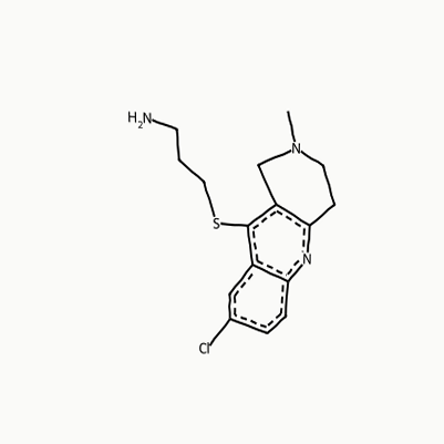 CN1CCc2nc3ccc(Cl)cc3c(SCCCN)c2C1